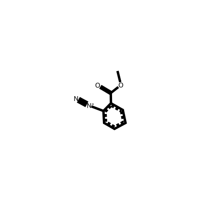 COC(=O)c1ccccc1[N+]#N